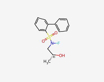 C[C@@H](O)CN(F)S(=O)(=O)c1ccccc1-c1ccccc1